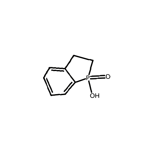 O=P1(O)CCc2ccccc21